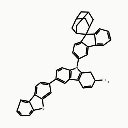 CC1C=Cc2c(n(-c3ccc4c(c3)-c3ccccc3C43C4CC5CC(C4)CC3C5)c3ccc(-c4ccc5c(c4)sc4ccccc45)cc23)C1